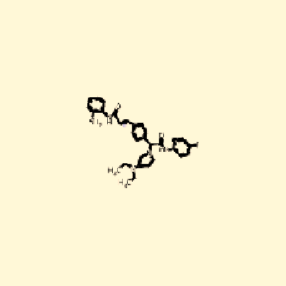 CCN(CC)C1CCN(C(C(=O)Nc2ccc(F)cc2)c2ccc(/C=C/C(=O)Nc3ccccc3N)cc2)C1